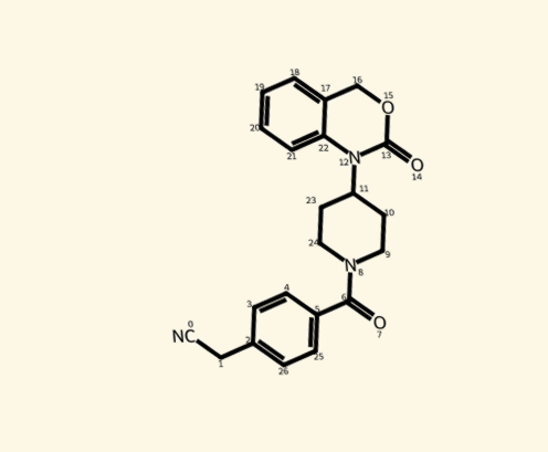 N#CCc1ccc(C(=O)N2CCC(N3C(=O)OCc4ccccc43)CC2)cc1